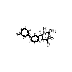 Cc1cccc(-c2cccc([C@]3(C)CC(=O)N(C)C(=N)N3)c2)c1